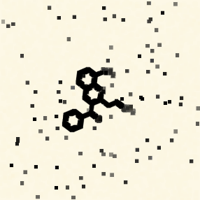 C=CCc1nc2c(N)cccc2cc1C(=O)c1ccccc1